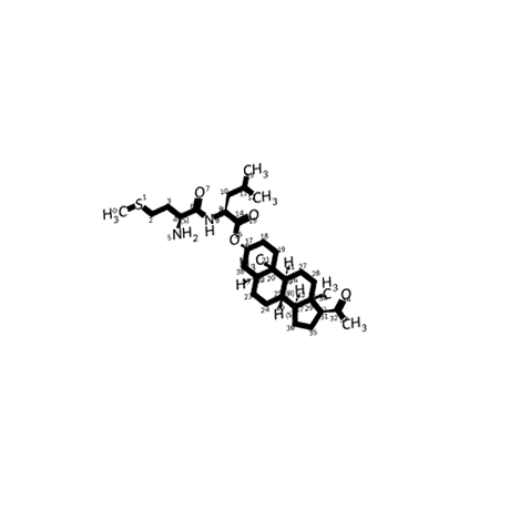 CSCC[C@H](N)C(=O)N[C@@H](CC(C)C)C(=O)O[C@@H]1CC[C@@]2(C)[C@@H](CC[C@@H]3[C@@H]2CC[C@]2(C)[C@@H](C(C)=O)CC[C@@H]32)C1